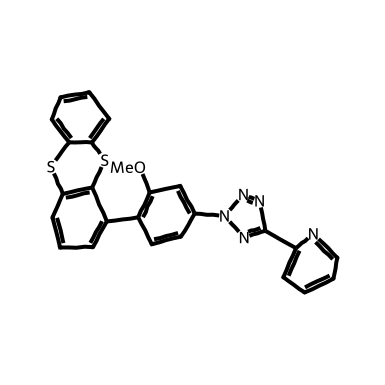 COc1cc(-n2nnc(-c3ccccn3)n2)ccc1-c1cccc2c1Sc1ccccc1S2